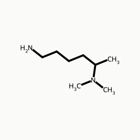 CC(CCCCN)N(C)C